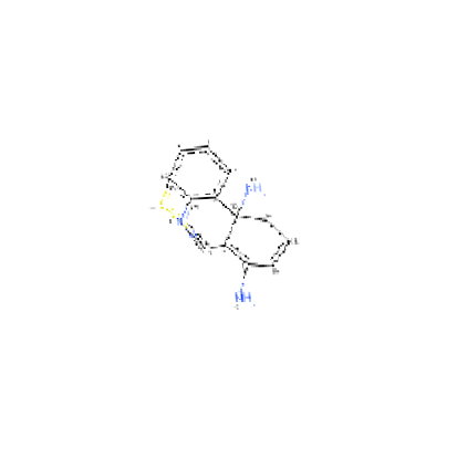 NC1=C2c3nc4c(cccc4s3)C2(N)CC=C1